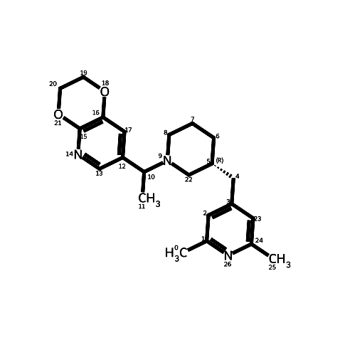 Cc1cc(C[C@H]2CCCN(C(C)c3cnc4c(c3)OCCO4)C2)cc(C)n1